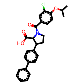 CC(C)Oc1ccc(C(=O)N2CCC(c3ccc(-c4ccccc4)cc3)C2C(=O)O)cc1Cl